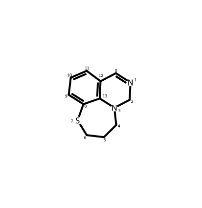 C1=NCN2CCCSc3cccc1c32